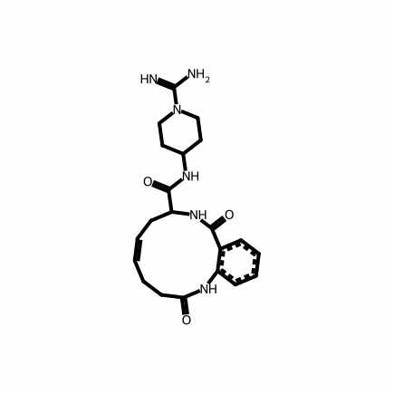 N=C(N)N1CCC(NC(=O)C2CC=CCCC(=O)Nc3ccccc3C(=O)N2)CC1